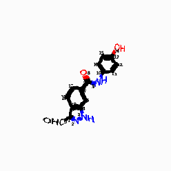 O=Cc1n[nH]c2cc(C(=O)Nc3ccc(O)cc3)ccc12